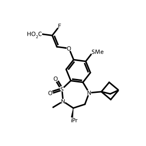 CSc1cc2c(cc1O/C=C(\F)C(=O)O)S(=O)(=O)N(C)[C@H](C(C)C)CN2C12CC(C1)C2